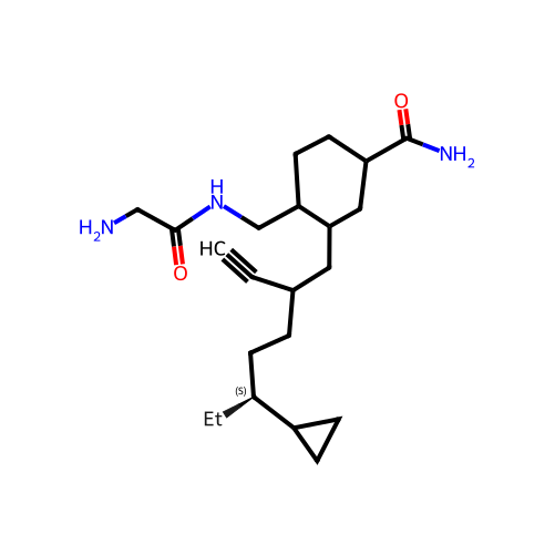 C#CC(CC[C@H](CC)C1CC1)CC1CC(C(N)=O)CCC1CNC(=O)CN